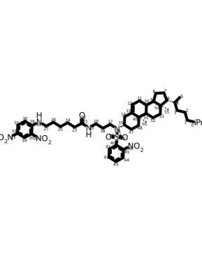 CC(C)CCCC(C)[C@H]1CCC2C3CC=C4C[C@@H](N(CCCNC(=O)CCCCCNc5ccc([N+](=O)[O-])cc5[N+](=O)[O-])S(=O)(=O)c5ccccc5[N+](=O)[O-])CC[C@]4(C)C3CC[C@@]21C